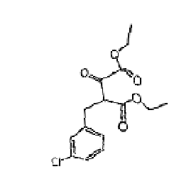 CCOC(=O)C(=O)C(Cc1cccc(Cl)c1)C(=O)OCC